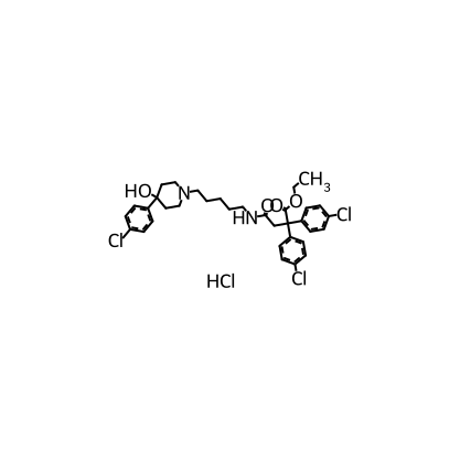 CCOC(=O)C(CC(=O)NCCCCCN1CCC(O)(c2ccc(Cl)cc2)CC1)(c1ccc(Cl)cc1)c1ccc(Cl)cc1.Cl